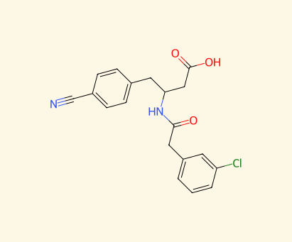 N#Cc1ccc(CC(CC(=O)O)NC(=O)Cc2cccc(Cl)c2)cc1